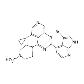 O=C(O)N1CCN(c2nc(-c3ccnc4[nH]cc(Br)c34)nc3cncc(C4CC4)c23)CC1